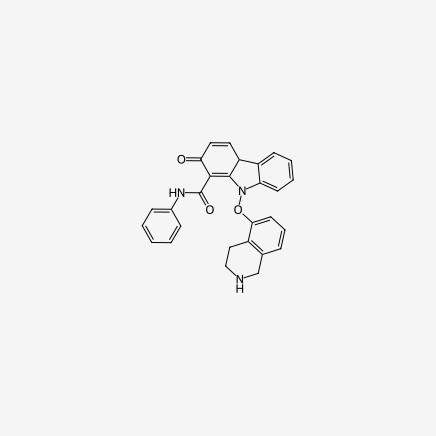 O=C1C=CC2C(=C1C(=O)Nc1ccccc1)N(Oc1cccc3c1CCNC3)c1ccccc12